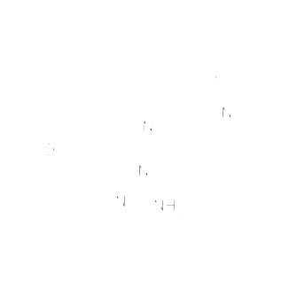 CN(C(=O)c1ccnc(CN2Cc3cc(Oc4ccccc4)ccc3N=C2N)c1)C1CCCCC1